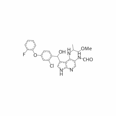 COCC(C)Nc1c(NC=O)cnc2[nH]cc(C(O)c3ccc(Oc4ccccc4F)cc3Cl)c12